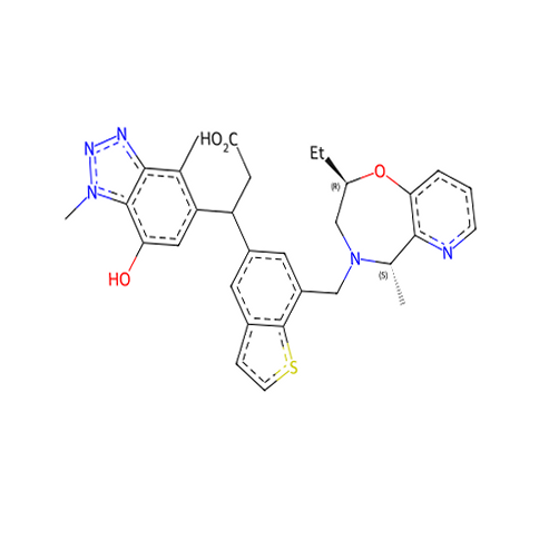 CC[C@@H]1CN(Cc2cc(C(CC(=O)O)c3cc(O)c4c(nnn4C)c3C)cc3ccsc23)[C@@H](C)c2ncccc2O1